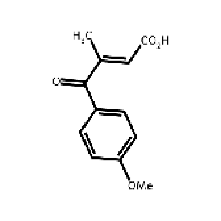 COc1ccc(C(=O)C(C)=CC(=O)O)cc1